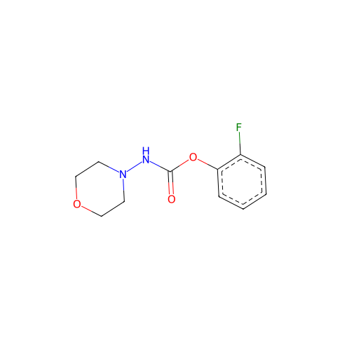 O=C(NN1CCOCC1)Oc1ccccc1F